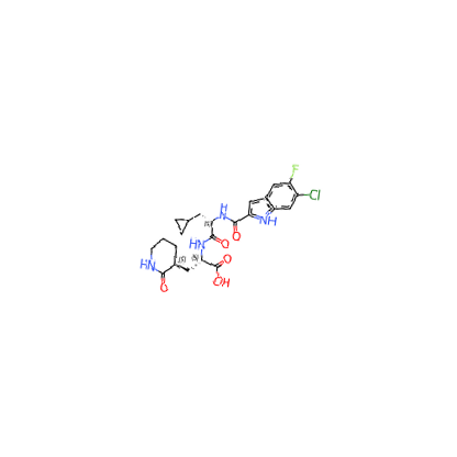 O=C(N[C@@H](CC1CC1)C(=O)N[C@@H](C[C@@H]1CCCNC1=O)C(=O)O)c1cc2cc(F)c(Cl)cc2[nH]1